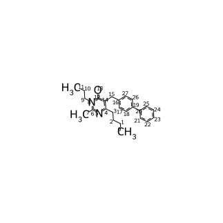 CCCCc1nc(C)n(CCC)c(=O)c1Cc1ccc(-c2ccccc2)cc1